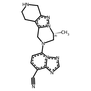 C[C@@H]1CN(c2ccc(C#N)c3ncnn23)Cc2c3c(nn21)CNCC3